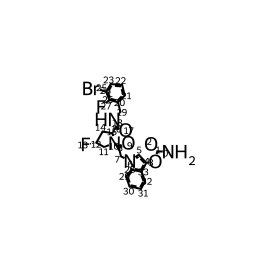 NC(=O)Oc1cn(CC(=O)N2C[C@H](F)C[C@H]2C(=O)NCc2cccc(Br)c2F)c2ccccc12